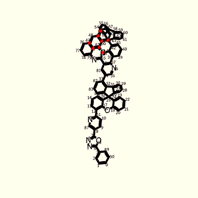 c1ccc(-c2nnc(-c3ccc(-c4cccc5c4Oc4ccccc4C54c5ccccc5-c5c(-c6cnc(-c7cccc8c7Oc7ccccc7C87c8ccccc8-c8ccccc87)c(-c7nc(-c8ccccc8)c8ccccc8n7)c6)cccc54)nc3)o2)cc1